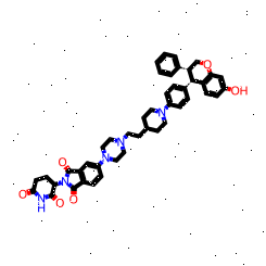 O=C1CCC(N2C(=O)c3ccc(N4CCN(CCC5CCN(c6ccc([C@H]7c8ccc(O)cc8OC[C@H]7c7ccccc7)cc6)CC5)CC4)cc3C2=O)C(=O)N1